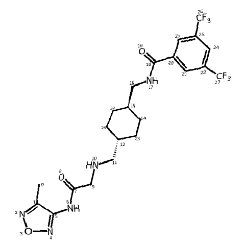 Cc1nonc1NC(=O)CNC[C@H]1CC[C@H](CNC(=O)c2cc(C(F)(F)F)cc(C(F)(F)F)c2)CC1